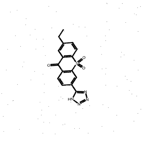 CCc1ccc2c(c1)C(=O)c1ccc(-c3nnn[nH]3)cc1S2(=O)=O